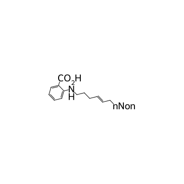 CCCCCCCCCCC=CCCCNc1ccccc1C(=O)O